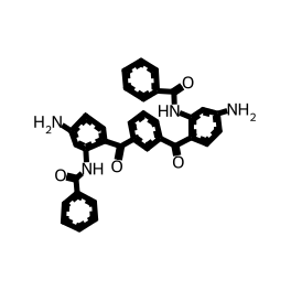 Nc1ccc(C(=O)c2cccc(C(=O)c3ccc(N)cc3NC(=O)c3ccccc3)c2)c(NC(=O)c2ccccc2)c1